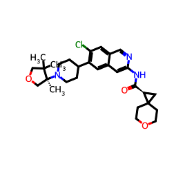 CC1(C)COC[C@]1(C)N1CCC(c2cc3cc(NC(=O)[C@H]4CC45CCOCC5)ncc3cc2Cl)CC1